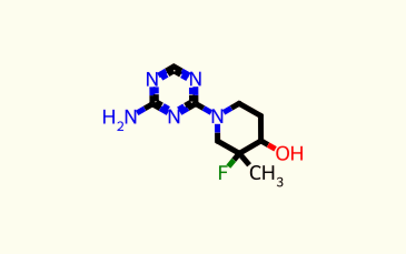 CC1(F)CN(c2ncnc(N)n2)CCC1O